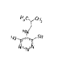 CC(C)CNc1c(S)nnnc1S